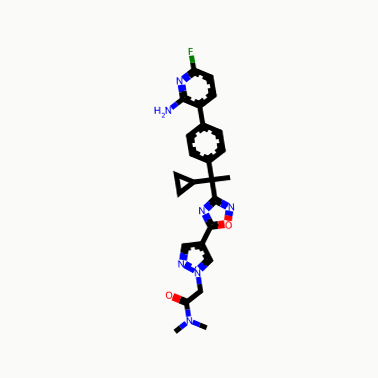 CN(C)C(=O)Cn1cc(-c2nc(C(C)(c3ccc(-c4ccc(F)nc4N)cc3)C3CC3)no2)cn1